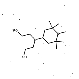 CN1C(C)(C)CC(N(CCO)CCO)CC1(C)C